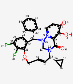 O=C1c2c(O)c(=O)ccn2N2CN1[C@H](C1CC1)/C=C/COc1c(ccc(F)c1F)[C@@H]2c1ccccc1